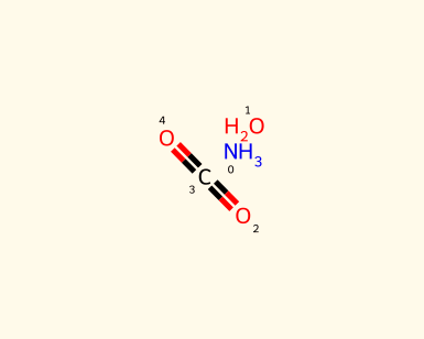 N.O.O=C=O